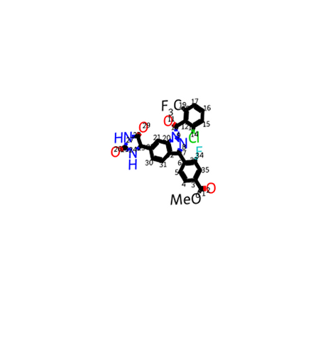 COC(=O)c1ccc(-c2nn(C(=O)c3c(Cl)cccc3C(F)(F)F)c3cc(C4NC(=O)NC4=O)ccc23)c(F)c1